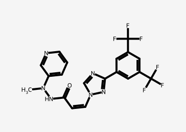 CN(NC(=O)/C=C\n1cnc(-c2cc(C(F)(F)F)cc(C(F)(F)F)c2)n1)c1cccnc1